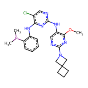 COc1nc(N2CC3(CCC3)C2)ncc1Nc1ncc(Cl)c(Nc2ccccc2P(C)C)n1